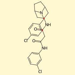 O=C(CC(=O)NC1CC2CCC(C1)N2Cc1ccc(Cl)cc1)Nc1cccc(Cl)c1